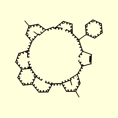 O=C(O)c1cc2c3nc(c(-c4ccccc4)c4ccc([nH]4)c4cc(C(=O)O)cc(c4O)c4ccc5ccc6ccc(nc6c5n4)c(c1)c2O)C=C3